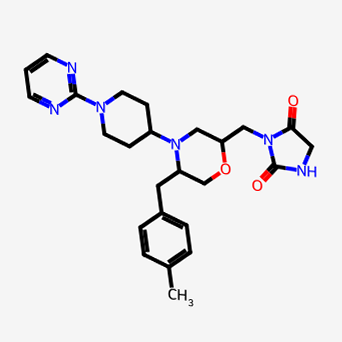 Cc1ccc(CC2COC(CN3C(=O)CNC3=O)CN2C2CCN(c3ncccn3)CC2)cc1